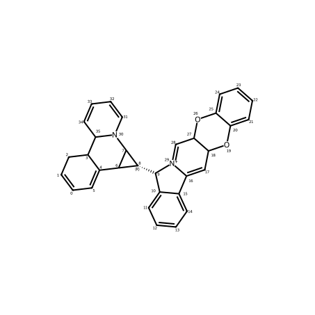 C1=CCC2C(=C1)C1C([C@@H]1C1c3ccccc3C3=CC4Oc5ccccc5OC4C=[N+]31)N1C=CC=CC21